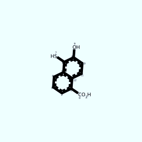 O=C(O)c1cccc2c(S)c(O)ccc12